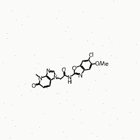 COc1cc2nc(NC(=O)Cn3cnc4c3ccc(=O)n4C)oc2cc1Cl